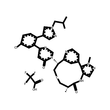 CC(C)Cn1cc(-c2ccc(Cl)cc2-c2cc(=O)n([C@H]3CCC[C@@H](C)C(=O)Nc4cnn(C)c4-c4ccnc3c4)cn2)cn1.O=C(O)C(F)(F)F